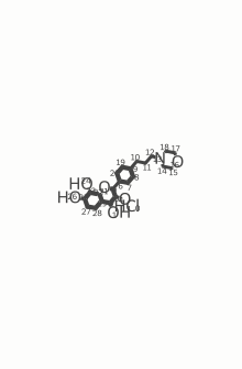 Cl.O=c1c(O)c(-c2ccc(CCCN3CCOCC3)cc2)oc2c(O)c(O)ccc12